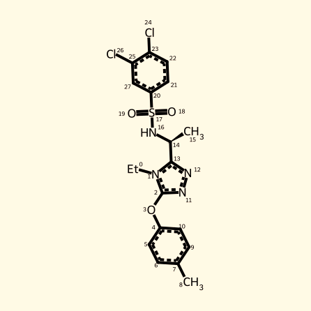 CCn1c(Oc2ccc(C)cc2)nnc1[C@H](C)NS(=O)(=O)c1ccc(Cl)c(Cl)c1